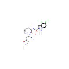 N#CC(CC1CCNC1=O)NC(=O)C(CC1CC1)NC(=O)c1cc2c(Cl)c(Cl)ccc2[nH]1